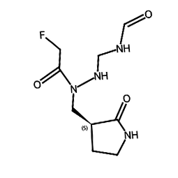 O=CNCNN(C[C@@H]1CCNC1=O)C(=O)CF